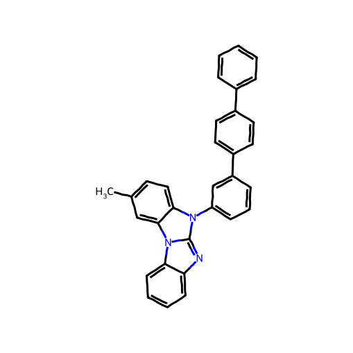 Cc1ccc2c(c1)n1c3ccccc3nc1n2-c1cccc(-c2ccc(-c3ccccc3)cc2)c1